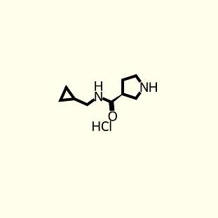 Cl.O=C(NCC1CC1)[C@H]1CCNC1